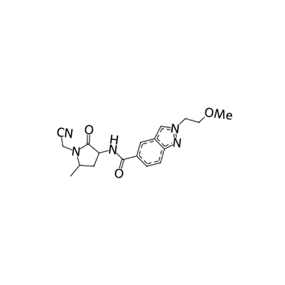 COCCn1cc2cc(C(=O)NC3CC(C)N(CC#N)C3=O)ccc2n1